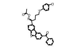 CC(=O)O/N=C(\CCCSc1ccc(Cl)cc1)c1ccc2sc3ccc(C(=O)c4ccccc4)cc3c2c1